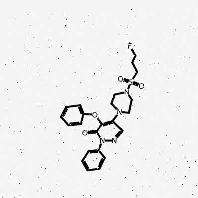 O=c1c(Oc2ccccc2)c(N2CCN(S(=O)(=O)CCCF)CC2)cnn1-c1ccccc1